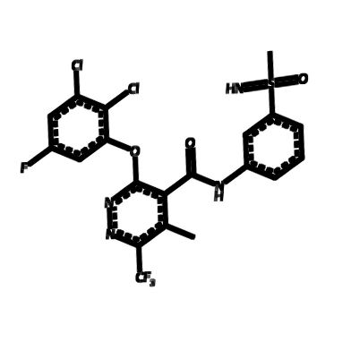 Cc1c(C(F)(F)F)nnc(Oc2cc(F)cc(Cl)c2Cl)c1C(=O)Nc1cccc(S(C)(=N)=O)c1